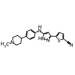 CN1CCC(c2ccc(Nc3cc(-c4ccc(C#N)s4)n[nH]3)cc2)CC1